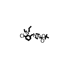 CCCN(CC)c1c(Cl)cccc1CN1CCN(C(=O)OC(C)(C)C)CC1